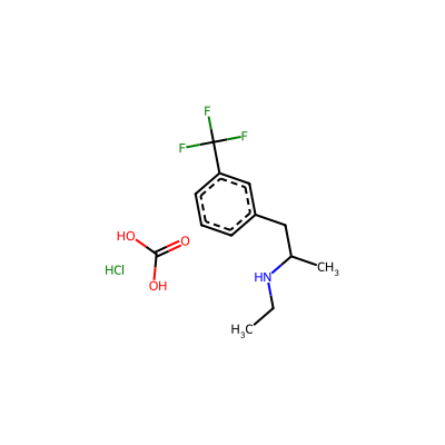 CCNC(C)Cc1cccc(C(F)(F)F)c1.Cl.O=C(O)O